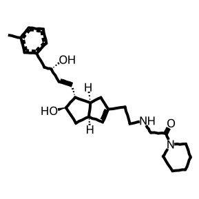 Cc1cccc(C[C@H](O)/C=C/[C@@H]2[C@H]3CC(CCNCC(=O)N4CCCCC4)=C[C@H]3C[C@H]2O)c1